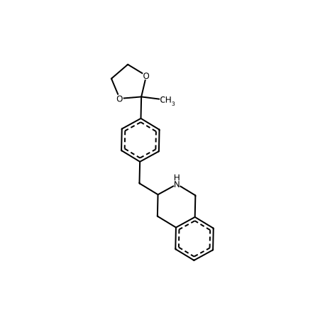 CC1(c2ccc(CC3Cc4ccccc4CN3)cc2)OCCO1